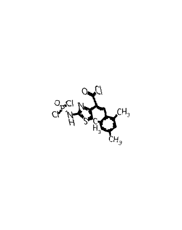 Cc1cc(C)c(C=C(C(=O)Cl)c2csc(NP(=O)(Cl)Cl)n2)c(C)c1